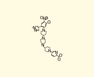 COC(=O)c1ccc(N2CCC(CN3CCN(C4CCN(c5cc(OC)c([N+](=O)[O-])cc5-c5cnn(C)c5)CC4)CC3)CC2)cn1